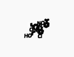 CCc1cc2nc(Oc3ccccc3C(C)C)n(Cc3ccc(Cl)cc3)c2c(=O)n(CCCO)c1=O